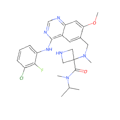 COc1cc2ncnc(Nc3cccc(Cl)c3F)c2cc1CN(C)C1(C(=O)N(C)C(C)C)CNC1